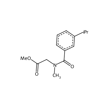 COC(=O)CN(C)C(=O)c1cccc(C(C)C)c1